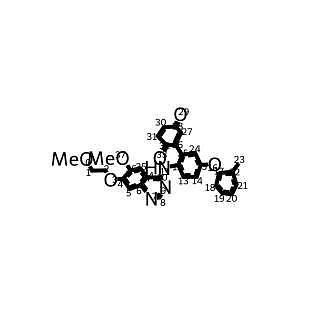 COCCOc1cc2ncnc(Nc3ccc(Oc4ccccc4C)cc3C3=CC(=O)C=CC3=O)c2cc1OC